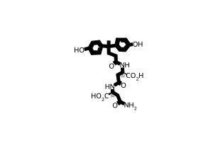 CC(CCC(=O)N[C@@H](CC(=O)N[C@@H](CC(N)=O)C(=O)O)C(=O)O)(c1ccc(O)cc1)c1ccc(O)cc1